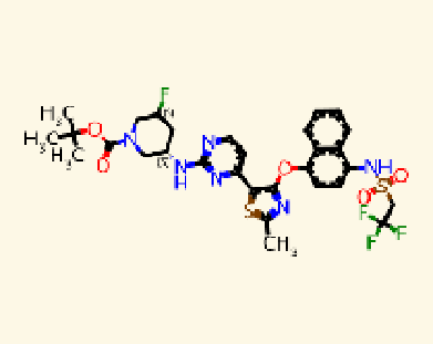 Cc1nc(Oc2ccc(NS(=O)(=O)CC(F)(F)F)c3ccccc23)c(-c2ccnc(N[C@H]3C[C@H](F)CN(C(=O)OC(C)(C)C)C3)n2)s1